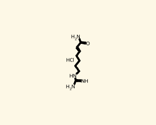 Cl.N=C(N)NCCCCC=CC(N)=O